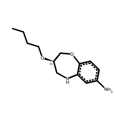 CCCCO[C@@H]1CNc2cc(N)ccc2OC1